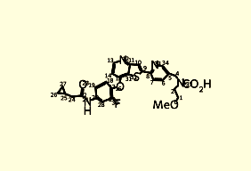 COCCN(Cc1ccc(-c2cc3nccc(Oc4ccc(NC(=O)CC5CC5)cc4F)c3s2)nc1)C(=O)O